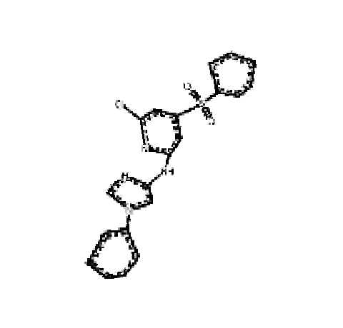 O=S(=O)(c1ccccc1)c1cc(Cl)nc(Nc2cn(-c3ccccc3)cn2)c1